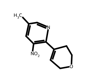 Cc1cnc(C2=CCOCC2)c([N+](=O)[O-])c1